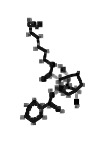 CN1[C@H]2CC[C@@H]1[C@@H](C(=O)OCCCCCC(=O)O)[C@@H](OC(=O)c1ccccc1)C2